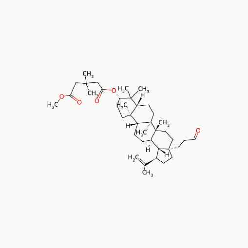 C=C(C)[C@@H]1CC[C@]2(CCC=O)CC[C@]3(C)[C@H](CC[C@@H]4[C@@]5(C)CC[C@H](OC(=O)CC(C)(C)CC(=O)OC)C(C)(C)[C@@H]5CC[C@]43C)[C@@H]12